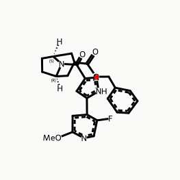 COc1cc(-c2cc(C(=O)N3[C@@H]4CC[C@H]3CC(C(=O)OCc3ccccc3)C4)n[nH]2)c(F)cn1